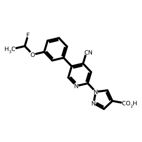 CC(F)Oc1cccc(-c2cnc(-n3cc(C(=O)O)cn3)cc2C#N)c1